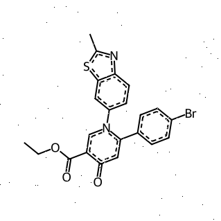 CCOC(=O)c1cn(-c2ccc3nc(C)sc3c2)c(-c2ccc(Br)cc2)cc1=O